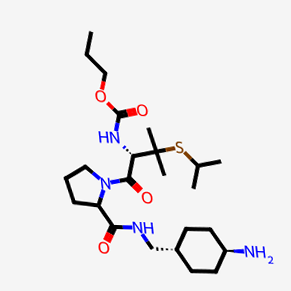 CCCOC(=O)N[C@@H](C(=O)N1CCCC1C(=O)NC[C@H]1CC[C@H](N)CC1)C(C)(C)SC(C)C